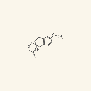 COc1ccc2c(c1)CCC1(COCC(=O)N1)C2